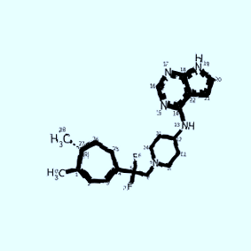 CC1=CC=C(C(F)(F)CN2CCC(Nc3ncnc4[nH]ccc34)CC2)CC[C@H]1C